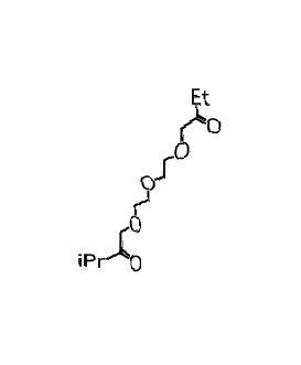 CCC(=O)COCCOCCOCC(=O)C(C)C